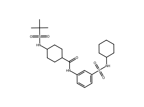 CC(C)(C)S(=O)(=O)NC1CCC(C(=O)Nc2cccc(S(=O)(=O)NC3CCCCC3)c2)CC1